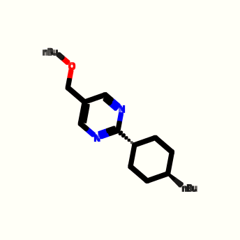 CCCCOCc1cnc([C@H]2CC[C@H](CCCC)CC2)nc1